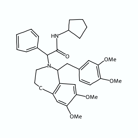 COc1ccc(CC2c3cc(OC)c(OC)cc3CCCN2C(C(=O)NC2CCCC2)c2ccccc2)cc1OC